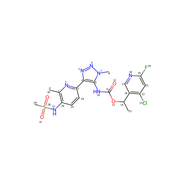 Cc1nc(-c2nnn(C)c2NC(=O)OC(C)c2cnc(F)cc2Cl)ccc1NS(C)(=O)=O